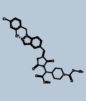 COC(=O)C(C1CCN(C(=O)OC(C)(C)C)CC1)N1C(=O)SC(=Cc2ccc3c(cnn3Cc3ccc(Cl)cc3C(F)(F)F)c2)C1=O